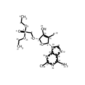 CCOP(=O)(CO[C@H]1O[C@@H](n2cnc3c(N)nc(Cl)nc32)C(F)=C1O)OCC